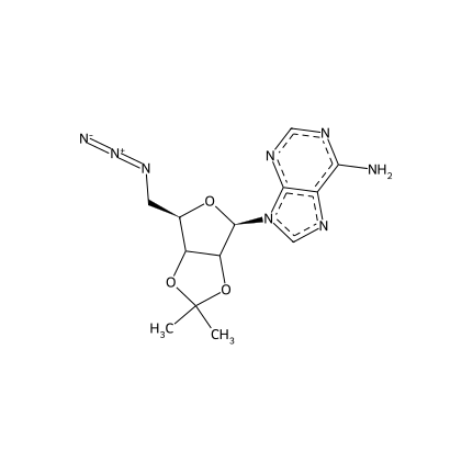 CC1(C)OC2C(O1)[C@@H](CN=[N+]=[N-])O[C@H]2n1cnc2c(N)ncnc21